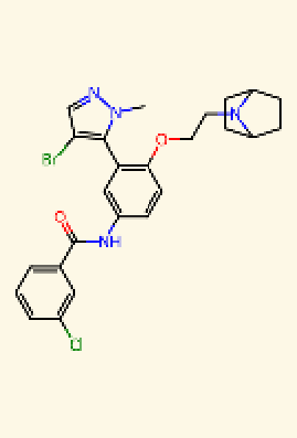 Cn1ncc(Br)c1-c1cc(NC(=O)c2cccc(Cl)c2)ccc1OCCN1C2CCC1CC2